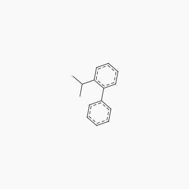 [CH2]C(C)c1ccccc1-c1ccccc1